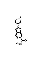 COC(=O)c1ccc2c(c1)CN([C@@H]1CCN(C)C1)C2